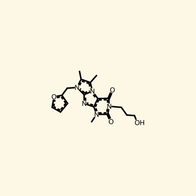 Cc1c(C)n2c3c(=O)n(CCCO)c(=O)n(C)c3nc2n1Cc1ccco1